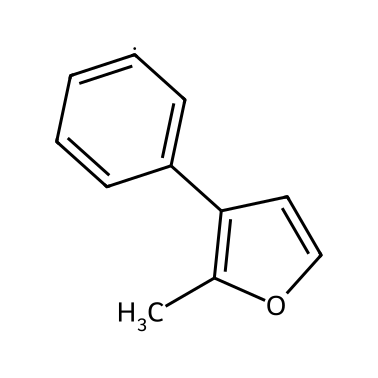 Cc1occc1-c1c[c]ccc1